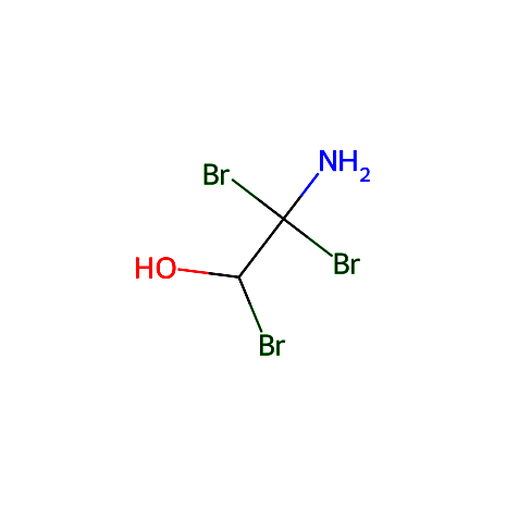 NC(Br)(Br)C(O)Br